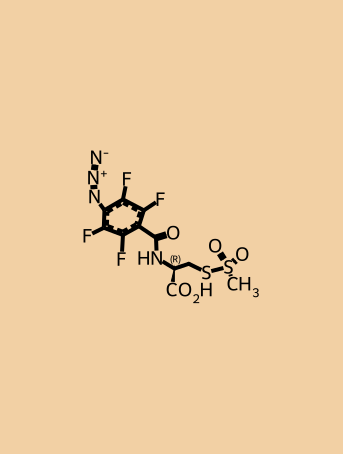 CS(=O)(=O)SC[C@H](NC(=O)c1c(F)c(F)c(N=[N+]=[N-])c(F)c1F)C(=O)O